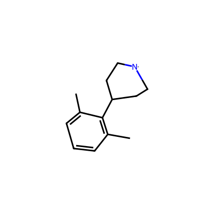 Cc1cccc(C)c1C1CC[N]CC1